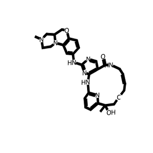 CN1CCN2c3cc(Nc4ncc5c(n4)Nc4cccc(n4)C(C)(O)CCC/C=C\CNC5=O)ccc3OCC2C1